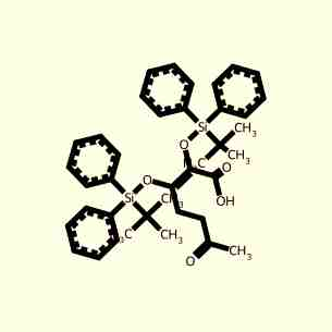 CC(=O)CCC(O[Si](c1ccccc1)(c1ccccc1)C(C)(C)C)=C(O[Si](c1ccccc1)(c1ccccc1)C(C)(C)C)C(=O)O